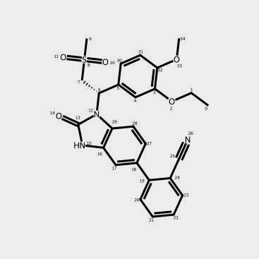 CCOc1cc([C@@H](CS(C)(=O)=O)n2c(=O)[nH]c3cc(-c4ccccc4C#N)ccc32)ccc1OC